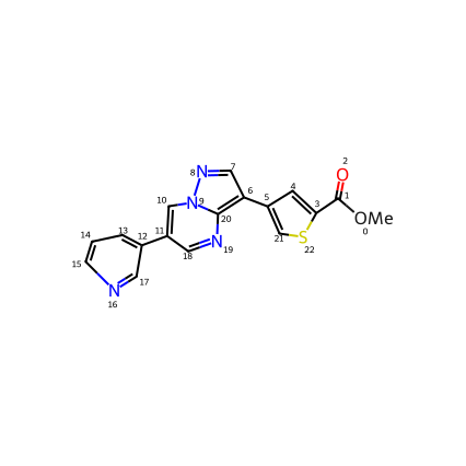 COC(=O)c1cc(-c2cnn3cc(-c4cccnc4)cnc23)cs1